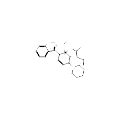 CCCC(C)OC1(OC)C[C](N2CCCCC2)C=CC1c1noc2ccccc12